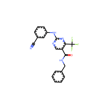 N#Cc1cccc(Nc2ncc(C(=O)NCc3ccccc3)c(C(F)(F)F)n2)c1